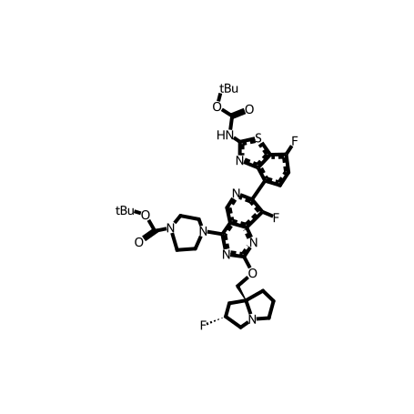 CC(C)(C)OC(=O)Nc1nc2c(-c3ncc4c(N5CCN(C(=O)OC(C)(C)C)CC5)nc(OC[C@@]56CCCN5C[C@H](F)C6)nc4c3F)ccc(F)c2s1